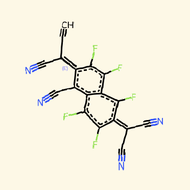 C#C/C(C#N)=c1\c(F)c(F)c2c(F)c(=C(C#N)C#N)c(F)c(F)c2c1C#N